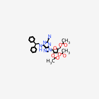 CC(=O)OC[C@@H]1O[C@@H](n2cnc3c(NCC(c4ccccc4)c4ccccc4)nc(C#N)nc32)[C@H](OC(C)=O)[C@@H]1OC(C)=O